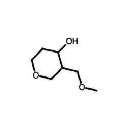 COCC1COCCC1O